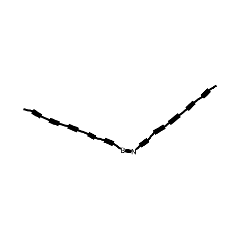 CC#CC#CC#CC#CC#C/B=N/C#CC#CC#CC#CC#CC